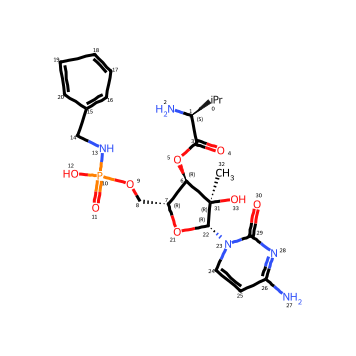 CC(C)[C@H](N)C(=O)O[C@@H]1[C@@H](COP(=O)(O)NCc2ccccc2)O[C@@H](n2ccc(N)nc2=O)[C@]1(C)O